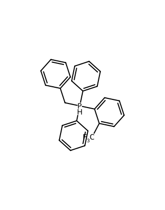 FC(F)(F)c1ccccc1[PH](Cc1ccccc1)(c1ccccc1)c1ccccc1